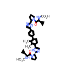 Cc1c(-c2ccc(-c3cnc(C4CCCN4C(=O)C(NC(=O)O)C4CC4)[nH]3)cc2)ccc(-c2cnc([C@@H]3CCCN3C(=O)[C@@H](NC(=O)O)C3CC3)[nH]2)c1C